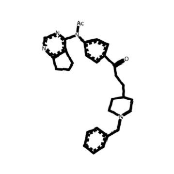 CC(=O)N(c1ccc(C(=O)CCC2CCN(Cc3ccccc3)CC2)cc1)c1ncnc2c1CCC2